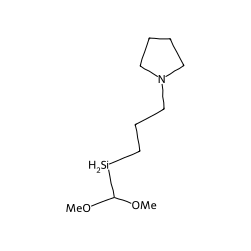 COC(OC)[SiH2]CCCN1CCCC1